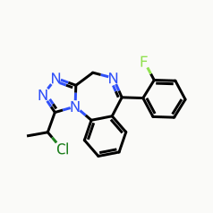 CC(Cl)c1nnc2n1-c1ccccc1C(c1ccccc1F)=NC2